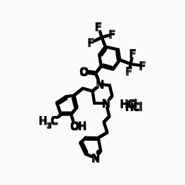 Cc1ccc(CC2CN(CCCc3cccnc3)CCN2C(=O)c2cc(C(F)(F)F)cc(C(F)(F)F)c2)cc1O.Cl.Cl